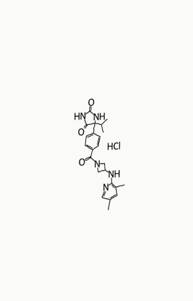 Cc1cnc(NC2CN(C(=O)c3ccc(C4(C(C)C)NC(=O)NC4=O)cc3)C2)c(C)c1.Cl